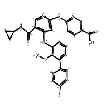 COc1c(Nc2cc(Nc3ccc(C(=O)O)cn3)ncc2C(=O)NC2CC2)cccc1-c1ncc(F)cn1